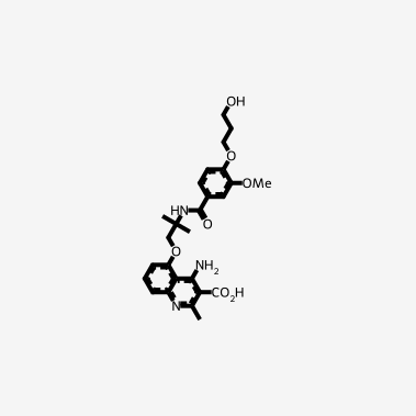 COc1cc(C(=O)NC(C)(C)COc2cccc3nc(C)c(C(=O)O)c(N)c23)ccc1OCCCO